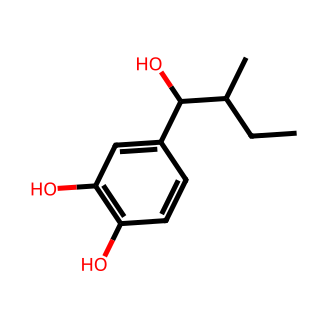 CCC(C)C(O)c1ccc(O)c(O)c1